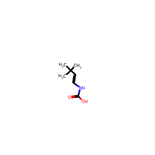 CC(C)(C)C=CNC(=O)O